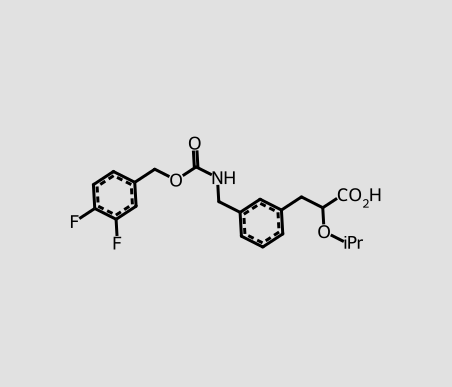 CC(C)OC(Cc1cccc(CNC(=O)OCc2ccc(F)c(F)c2)c1)C(=O)O